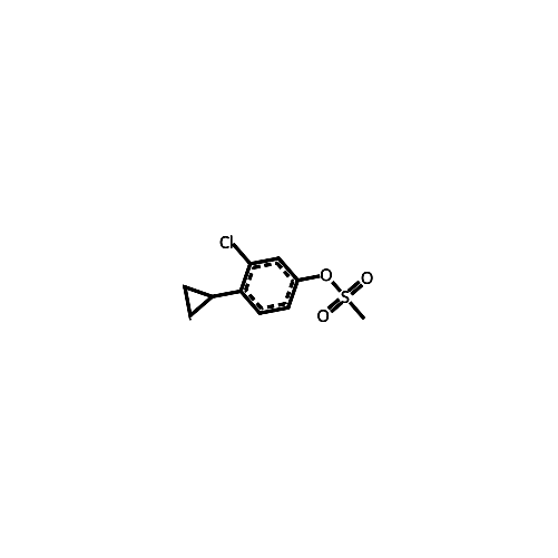 CS(=O)(=O)Oc1ccc(C2[CH]C2)c(Cl)c1